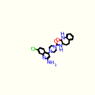 Nc1cc(N2CCN(C(=O)N[C@H]3CCc4ccccc4NC3=O)CC2)c2ccc(Cl)cc2n1